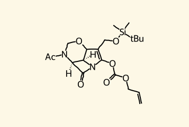 C=CCOC(=O)OC1=C(CO[Si](C)(C)C(C)(C)C)C2OCN(C(C)=O)[C@@H]3C(=O)N1[C@H]23